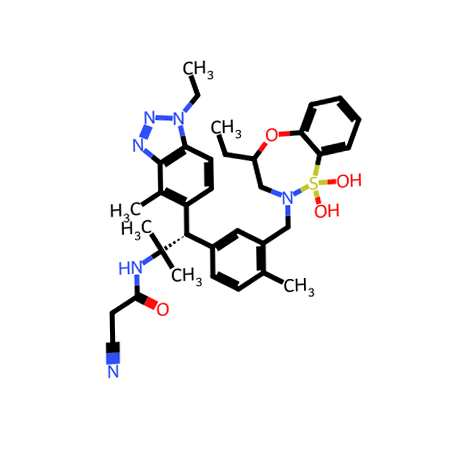 CCC1CN(Cc2cc([C@@H](c3ccc4c(nnn4CC)c3C)C(C)(C)NC(=O)CC#N)ccc2C)S(O)(O)c2ccccc2O1